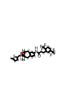 Cc1ccc(CN[C@H]2[C@@H]3CC[C@H]2Cc2ccc(NC(=O)CCc4cc(C(F)(F)F)ccc4C(F)(F)F)cc2C3)s1